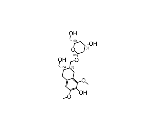 COc1cc2c(c(OC)c1O)C[C@H](CO[C@H]1C[C@@H](O)C[C@@H](CO)O1)[C@@H](CO)C2